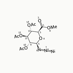 COC(=O)[C@H]1O[C@@H](N=[N+]=[N-])[C@H](OC(C)=O)[C@@H](OC(C)=O)[C@@H]1OC(C)=O